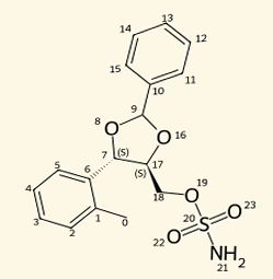 Cc1ccccc1[C@@H]1OC(c2ccccc2)O[C@H]1COS(N)(=O)=O